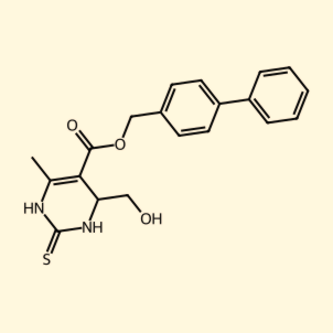 CC1=C(C(=O)OCc2ccc(-c3ccccc3)cc2)C(CO)NC(=S)N1